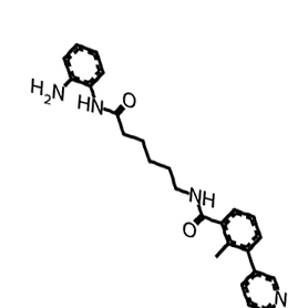 Cc1c(C(=O)NCCCCCC(=O)Nc2ccccc2N)cccc1-c1cccnc1